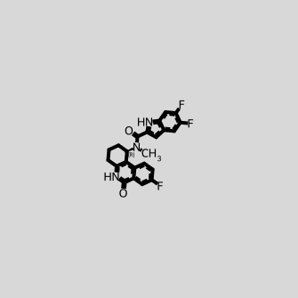 CN(C(=O)c1cc2cc(F)c(F)cc2[nH]1)[C@@H]1CCCc2[nH]c(=O)c3cc(F)ccc3c21